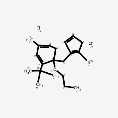 CCCOC1(CC2=[C]([Ti+2])CC=C2)CC=C(C)C=C1C(C)(C)C.[Cl-].[Cl-]